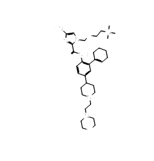 [C-]#[N+]c1cn(COCC[Si](C)(C)C)c(C(=O)Nc2ccc(C3CCN(CCN4CCOCC4)CC3)cc2C2=CCCCC2)n1